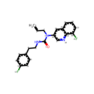 C=CCN(C(=O)NCCc1ccc(F)cc1)c1cnc2c(F)cccc2c1